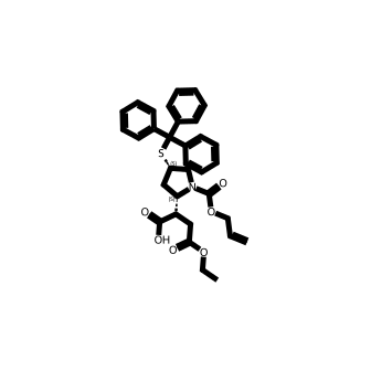 C=CCOC(=O)N1C[C@@H](SC(c2ccccc2)(c2ccccc2)c2ccccc2)C[C@H]1C(CC(=O)OCC)C(=O)O